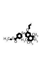 CCOC(=O)c1ccc([Se]c2cc3c(cc2OCCI)C(C)(C)CCC3(C)C)cc1